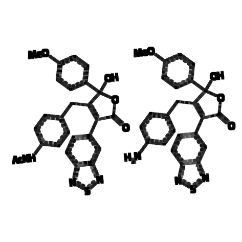 COc1ccc(C2(O)OC(=O)C(c3ccc4nsnc4c3)=C2Cc2ccc(N)cc2)cc1.COc1ccc(C2(O)OC(=O)C(c3ccc4nsnc4c3)=C2Cc2ccc(NC(C)=O)cc2)cc1